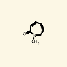 CN1CC=CC=CC1=O